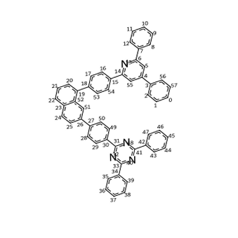 c1ccc(-c2cc(-c3ccccc3)nc(-c3ccc(-c4cccc5ccc(-c6ccc(-c7nc(-c8ccccc8)nc(-c8ccccc8)n7)cc6)cc45)cc3)c2)cc1